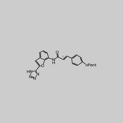 CCCCCc1ccc(/C=C/C(=O)Nc2cccc3cc(-c4nnn[nH]4)oc23)cc1